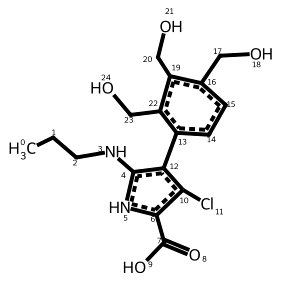 CCCNc1[nH]c(C(=O)O)c(Cl)c1-c1ccc(CO)c(CO)c1CO